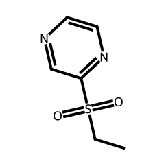 CCS(=O)(=O)c1cnccn1